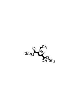 CC(C)(C)OC(=O)c1cc(C(O)OC(C)(C)C)nn1CC#N